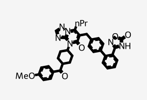 CCCc1c(Cc2ccc(-c3ccccc3-c3noc(=O)[nH]3)cc2)c(=O)n(C2CCC(C(=O)c3ccc(OC)cc3)CC2)c2ncnn12